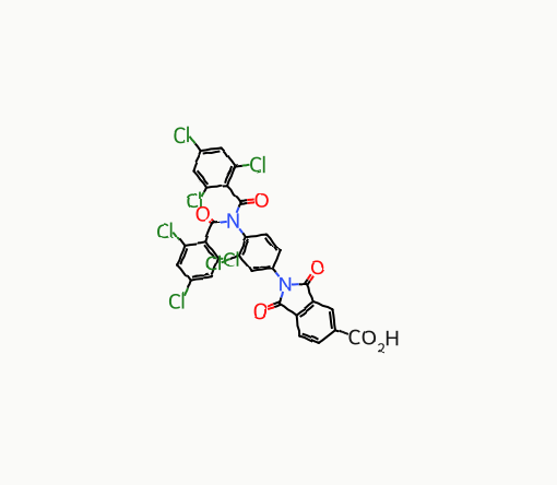 O=C(O)c1ccc2c(c1)C(=O)N(c1ccc(N(C(=O)c3c(Cl)cc(Cl)cc3Cl)C(=O)c3c(Cl)cc(Cl)cc3Cl)c(Cl)c1)C2=O